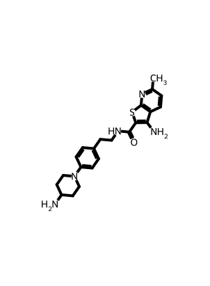 Cc1ccc2c(N)c(C(=O)NCCc3ccc(N4CCC(N)CC4)cc3)sc2n1